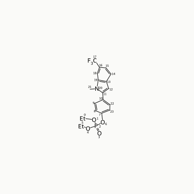 CCOP(=O)(OCC)Oc1ccc(-c2cc3ccc(C(F)(F)F)cc3n2C)cc1